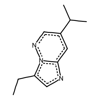 CCc1cnc2cc(C(C)C)cnn12